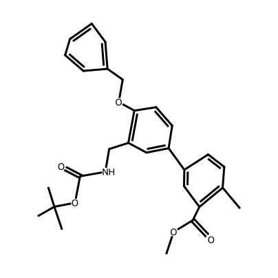 COC(=O)c1cc(-c2ccc(OCc3ccccc3)c(CNC(=O)OC(C)(C)C)c2)ccc1C